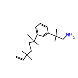 C=CC(C)(C)CCC(C)(C)c1cccc(C(C)(C)CN)c1